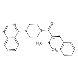 CN(C)[C@H](Cc1ccccc1)C(=O)N1CCN(c2ncnc3ccccc23)CC1